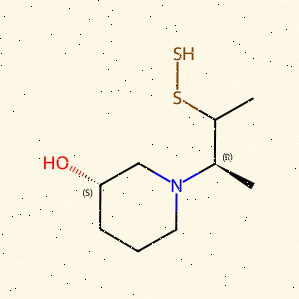 CC(SS)[C@@H](C)N1CCC[C@H](O)C1